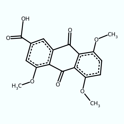 COc1cc(C(=O)O)cc2c1C(=O)c1c(OC)ccc(OC)c1C2=O